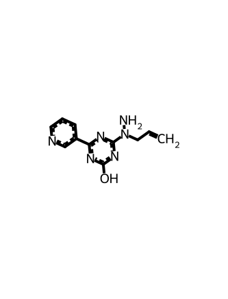 C=CCN(N)c1nc(O)nc(-c2cccnc2)n1